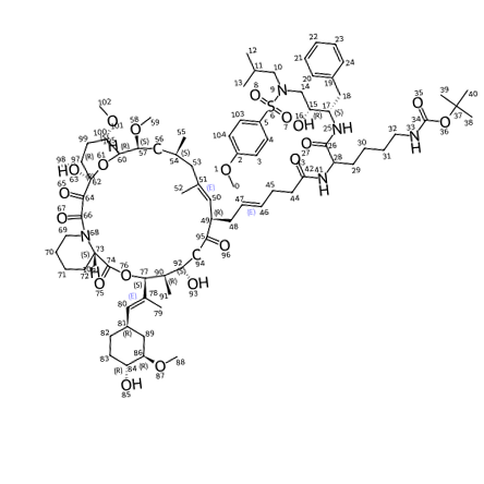 COc1ccc(S(=O)(=O)N(CC(C)C)C[C@@H](O)[C@H](Cc2ccccc2)NC(=O)C(CCCCNC(=O)OC(C)(C)C)NC(=O)CC/C=C/C[C@@H]2/C=C(\C)C[C@H](C)C[C@H](OC)[C@H]3O[C@@](O)(C(=O)C(=O)N4CCCC[C@H]4C(=O)O[C@H](/C(C)=C/[C@@H]4CC[C@@H](O)[C@H](OC)C4)[C@H](C)[C@@H](O)CC2=O)[C@H](C)C[C@@H]3OC)cc1